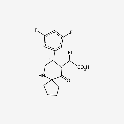 CCC(C(=O)O)N1C(=O)C2(CCCC2)NC[C@@H]1c1cc(F)cc(F)c1